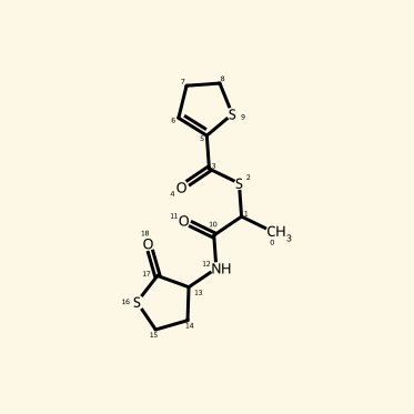 CC(SC(=O)C1=CCCS1)C(=O)NC1CCSC1=O